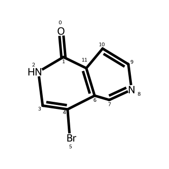 O=c1[nH]cc(Br)c2cnccc12